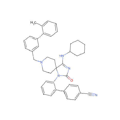 Cc1ccccc1-c1cccc(CN2CCC3(CC2)C(NC2CCCCC2)=NC(=O)N3c2ccccc2-c2ccc(C#N)cc2)c1